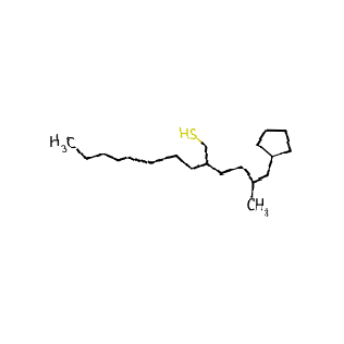 CCCCCCCCC(CS)CCC(C)CC1CCCC1